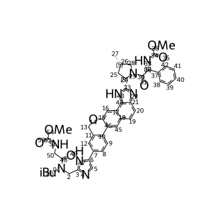 CC[C@H](C)N(Cc1ncc(-c2ccc3c(c2)COc2cc4c(ccc5nc([C@@H]6C[C@H](C)CN6C(=O)[C@H](NC(=O)OC)c6ccccc6)[nH]c54)cc2-3)[nH]1)C(=O)CNC(=O)OC